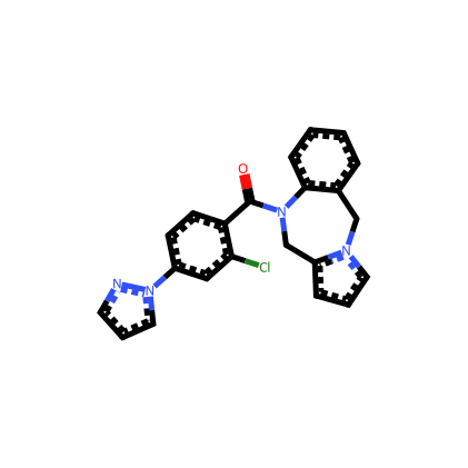 O=C(c1ccc(-n2cccn2)cc1Cl)N1Cc2cccn2Cc2ccccc21